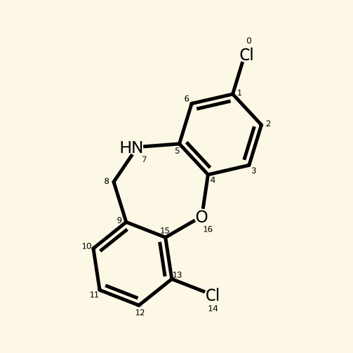 Clc1ccc2c(c1)NCc1cccc(Cl)c1O2